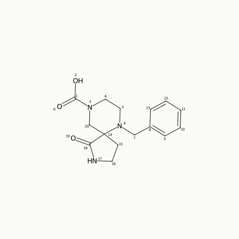 O=C(O)N1CCN(Cc2ccccc2)C2(CCNC2=O)C1